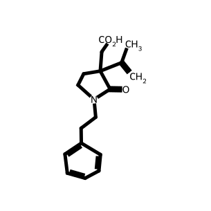 C=C(C)C1(CC(=O)O)CCN(CCc2ccccc2)C1=O